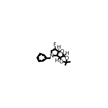 CC1(C)O[C@H]2O[C@H]3C([C@H]2O1)N(Cc1ccccc1)C[C@H]3F